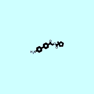 CC1(C(=O)OCC(=O)c2ccc(-c3ccc(N)cc3)cc2)CCCC1